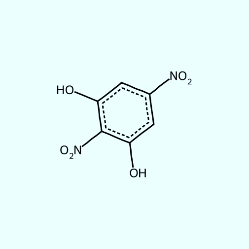 O=[N+]([O-])c1cc(O)c([N+](=O)[O-])c(O)c1